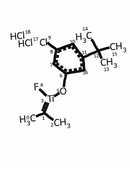 C[C](C)=[Ti]([F])[O]c1cc(Cl)cc(C(C)(C)C)c1.Cl.Cl